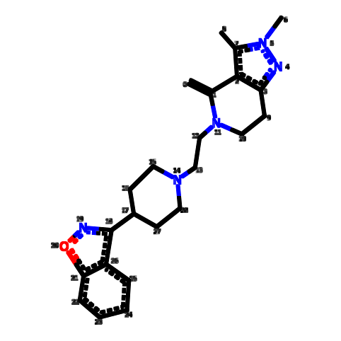 C=C1c2c(nn(C)c2C)CCN1CCN1CCC(c2noc3ccccc23)CC1